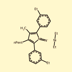 CCCCCC1=C(c2cccc(CC)c2)[N+](=[N-])C(c2cccc(CC)c2)=C1C.C[CH2][Ni][CH2]C